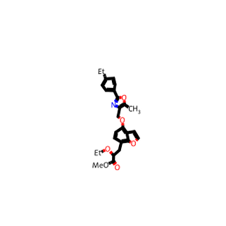 CCOC(Cc1ccc(OCc2nc(-c3ccc(CC)cc3)oc2C)c2ccoc12)C(=O)OC